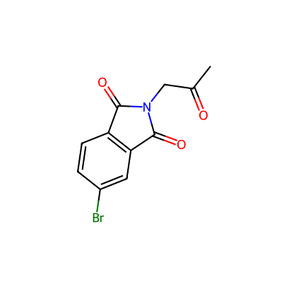 CC(=O)CN1C(=O)c2ccc(Br)cc2C1=O